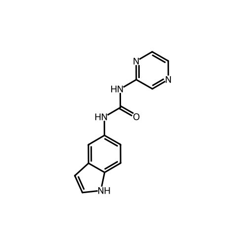 O=C(Nc1ccc2[nH]ccc2c1)Nc1cnccn1